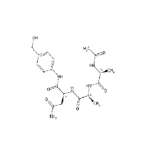 CC(=O)N[C@@H](C)C(=O)N[C@@H](C)C(=O)N[C@@H](CC(N)=O)C(=O)Nc1ccc(CO)cc1